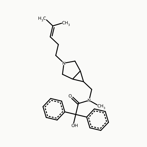 CC(C)=CCCN1CC2C(C1)C2CN(C)C(=O)C(O)(c1ccccc1)c1ccccc1